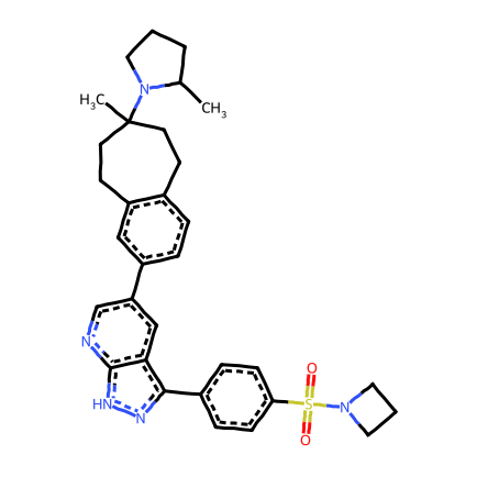 CC1CCCN1C1(C)CCc2ccc(-c3cnc4[nH]nc(-c5ccc(S(=O)(=O)N6CCC6)cc5)c4c3)cc2CC1